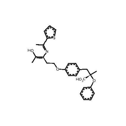 C/C(O)=C(CCOc1ccc(C[C@](C)(Oc2ccccc2)C(=O)O)cc1)/N=C(\C)c1cccs1